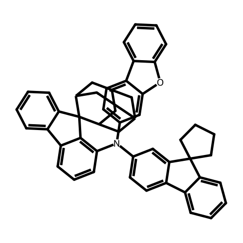 c1ccc2c(c1)-c1ccc(N(c3ccc4c(c3)oc3ccccc34)c3cccc4c3C3(c5ccccc5-4)C4CC5CC(C4)CC3C5)cc1C21CCCC1